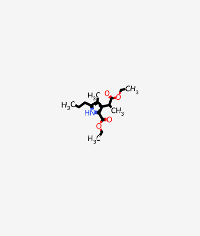 CCCc1[nH]c(C(=O)OCC)c(C(C)C(=O)OCC)c1C